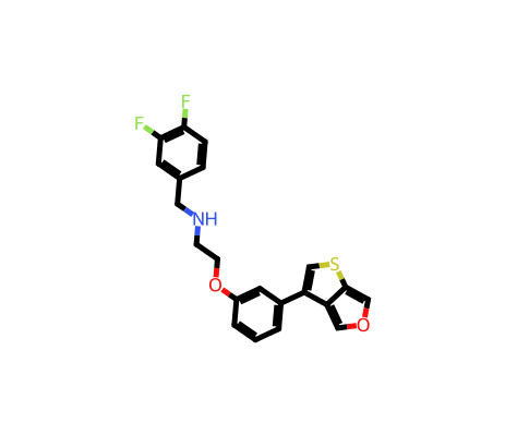 Fc1ccc(CNCCOc2cccc(-c3csc4cocc34)c2)cc1F